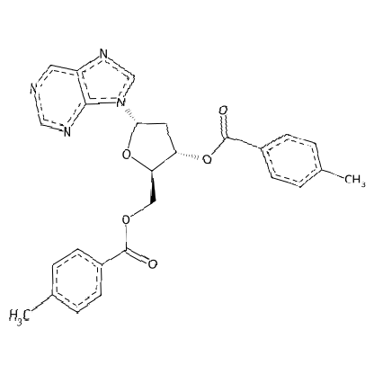 Cc1ccc(C(=O)OC[C@H]2O[C@H](n3cnc4cncnc43)C[C@@H]2OC(=O)c2ccc(C)cc2)cc1